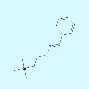 C[Si](C)(C)CCON=Cc1ccccc1